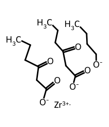 CCCC(=O)CC(=O)[O-].CCCC(=O)CC(=O)[O-].CCCC[O-].[Zr+3]